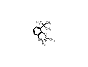 C[SiH](C)Oc1c(S)cccc1C(C)(C)C